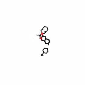 COC(=O)C1CC2CCCC(C1)N2Cc1ccc2cc(OC3CCC(C(F)(F)F)CC3)ccc2c1